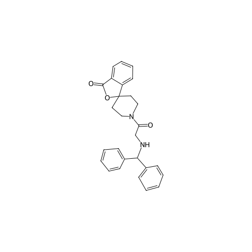 O=C1OC2(CCN(C(=O)CNC(c3ccccc3)c3ccccc3)CC2)c2ccccc21